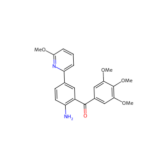 COc1cccc(-c2ccc(N)c(C(=O)c3cc(OC)c(OC)c(OC)c3)c2)n1